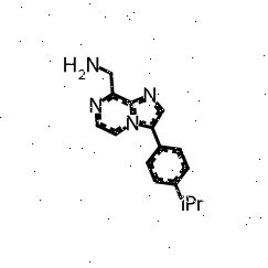 CC(C)c1ccc(-c2cnc3c(CN)nccn23)cc1